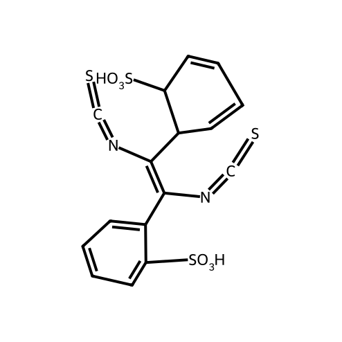 O=S(=O)(O)c1ccccc1C(N=C=S)=C(N=C=S)C1C=CC=CC1S(=O)(=O)O